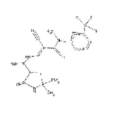 CN(C(=O)C(C#N)=CNC(=N)N1CC(C)(C)NC1=O)c1cccc(C(F)(F)F)c1